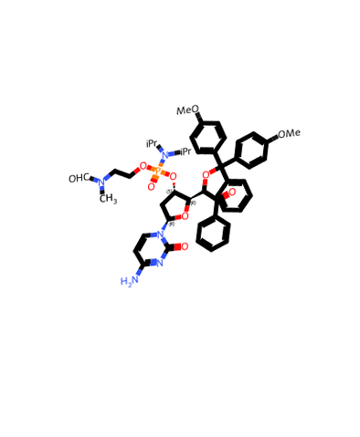 COc1ccc(C(OC(C(=O)c2ccccc2)[C@H]2O[C@@H](n3ccc(N)nc3=O)C[C@@H]2OP(=O)(OCCN(C)C=O)N(C(C)C)C(C)C)(c2ccccc2)c2ccc(OC)cc2)cc1